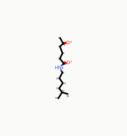 CC(=O)CCCC(=O)NCCCCC(C)C